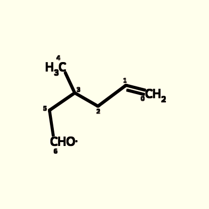 C=CCC(C)C[C]=O